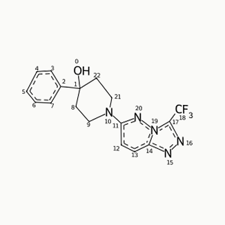 OC1(c2ccccc2)CCN(c2ccc3nnc(C(F)(F)F)n3n2)CC1